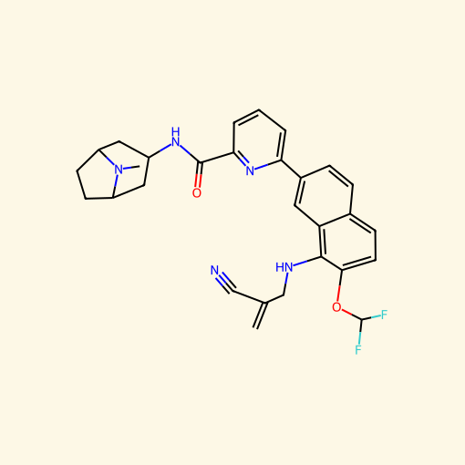 C=C(C#N)CNc1c(OC(F)F)ccc2ccc(-c3cccc(C(=O)NC4CC5CCC(C4)N5C)n3)cc12